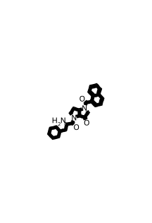 N[C@@H](CC1CCCCC1)C(=O)N1CCC2C1C(=O)CN2C(=O)c1cccc2ccccc12